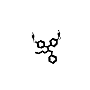 CCCCC(Cc1ccccc1)C(c1ccc(OC#N)cc1)c1ccc(OC#N)cc1